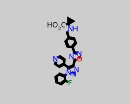 O=C(O)C1(NCc2ccc(-c3noc(-c4nnn(-c5ccccc5F)c4-c4ccncc4)n3)cc2)CC1